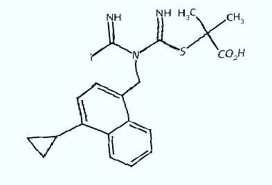 CC(C)(SC(=N)N(Cc1ccc(C2CC2)c2ccccc12)C(=N)I)C(=O)O